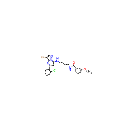 COc1cccc(C(=O)NCCCCNc2cc(-c3ccccc3Cl)nc3c(Br)cnn23)c1